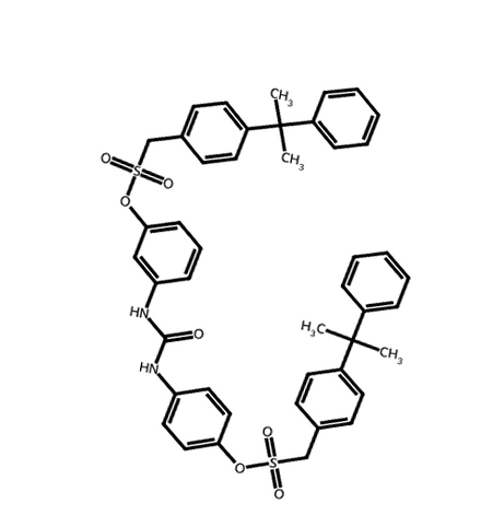 CC(C)(c1ccccc1)c1ccc(CS(=O)(=O)Oc2ccc(NC(=O)Nc3cccc(OS(=O)(=O)Cc4ccc(C(C)(C)c5ccccc5)cc4)c3)cc2)cc1